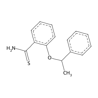 CC(Oc1ccccc1C(N)=S)c1ccccc1